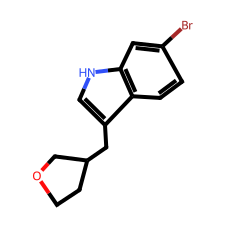 Brc1ccc2c(CC3CCOC3)c[nH]c2c1